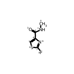 CNC(=O)c1csc(F)n1